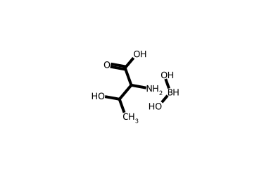 CC(O)C(N)C(=O)O.OBO